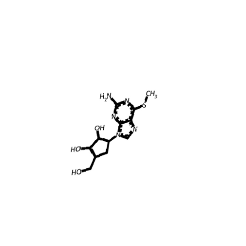 CSc1nc(N)nc2c1ncn2C1CC(CO)C(O)C1O